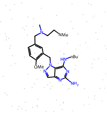 CCCCNc1nc(N)nc2cnn(Cc3cc(CN(C)CCNC)ccc3OC)c12